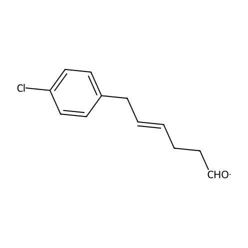 O=[C]CCC=CCc1ccc(Cl)cc1